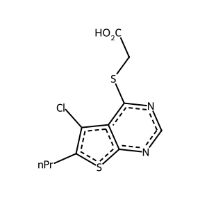 CCCc1sc2ncnc(SCC(=O)O)c2c1Cl